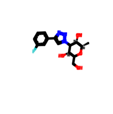 C[C@@H]1OC(CO)[C@H](O)C(n2cc(-c3cccc(F)c3)nn2)[C@@H]1O